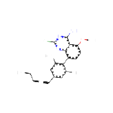 CCC=C=Cc1cc(C)c(-c2ccc(OC)c3c(N)nc(Cl)nc23)c(C)c1